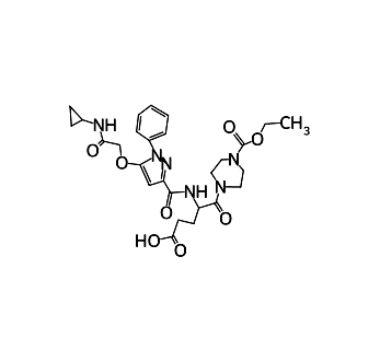 CCOC(=O)N1CCN(C(=O)C(CCC(=O)O)NC(=O)c2cc(OCC(=O)NC3CC3)n(-c3ccccc3)n2)CC1